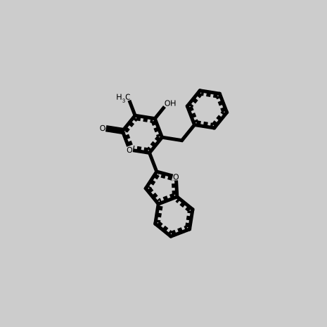 Cc1c(O)c(Cc2ccccc2)c(-c2cc3ccccc3o2)oc1=O